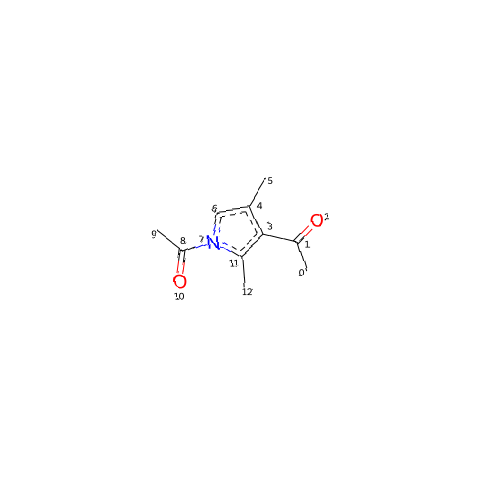 CC(=O)c1c(C)cn(C(C)=O)c1C